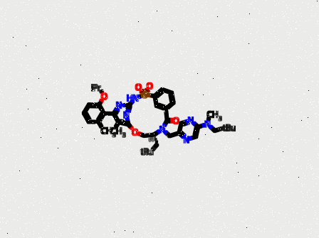 Cc1cccc(OC(C)C)c1-c1nc2nc(c1C)OC[C@@H](CC(C)(C)C)N(Cc1cnc(N(C)CC(C)(C)C)cn1)C(=O)c1cccc(c1)S(=O)(=O)N2